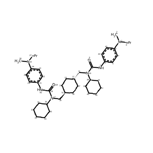 CCCN(C)c1ccc(NC(=O)N(C[C@H]2CC[C@H](CN(C(=O)Nc3ccc(N(C)CCC)cc3)C3CCCCC3)CC2)C2CCCCC2)cc1